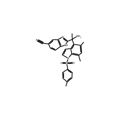 Cc1ccc(S(=O)(=O)n2ccc3c(C(C)(N)c4nc5cc(C#N)ccc5[nH]4)c(C)cc(C)c32)cc1